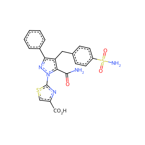 NC(=O)c1c(Cc2ccc(S(N)(=O)=O)cc2)c(-c2ccccc2)nn1-c1nc(C(=O)O)cs1